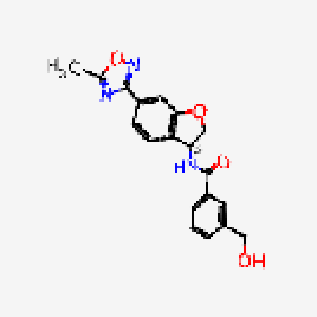 Cc1nc(-c2ccc3c(c2)OC[C@H]3NC(=O)c2cccc(CO)c2)no1